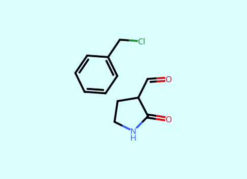 ClCc1ccccc1.O=CC1CCNC1=O